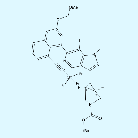 COCOc1cc(-c2ncc3c(C4[C@H]5CN(C(=O)OC(C)(C)C)C[C@@H]45)nn(C)c3c2F)c2c(C#C[Si](C(C)C)(C(C)C)C(C)C)c(F)ccc2c1